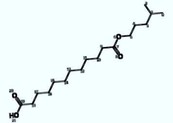 CC(C)CCCOC(=O)CCCCCCCCCCC(=O)O